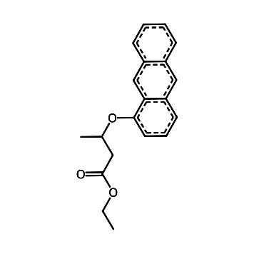 CCOC(=O)CC(C)Oc1cccc2cc3ccccc3cc12